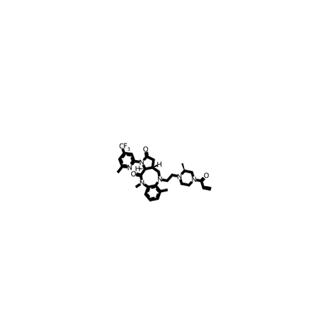 C=CC(=O)N1CCN(CCN2C[C@H]3CC(=O)N(c4cc(C(F)(F)F)cc(C)n4)[C@@H]3C(=O)N(C)c3cccc(C)c32)[C@@H](C)C1